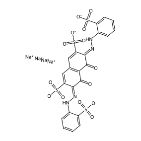 O=c1c2c(=O)/c(=N/Nc3ccccc3S(=O)(=O)[O-])c(S(=O)(=O)[O-])cc=2cc(S(=O)(=O)[O-])/c1=N\Nc1ccccc1S(=O)(=O)[O-].[Na+].[Na+].[Na+].[Na+]